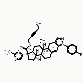 C[C@]12Cc3cnn(-c4ccc(F)cc4)c3C=C1CC[C@@H]1[C@@H]2[C@@H](O)C[C@@]2(C)[C@H]1CC[C@]2(C(=O)SCC#CCO)c1csc(C(=O)O)n1